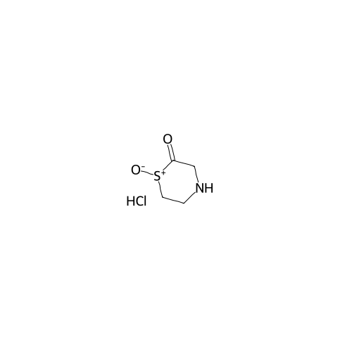 Cl.O=C1CNCC[S+]1[O-]